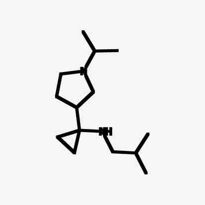 CC(C)CNC1(C2CCN(C(C)C)C2)CC1